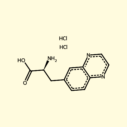 Cl.Cl.N[C@@H](Cc1ccc2nccnc2c1)C(=O)O